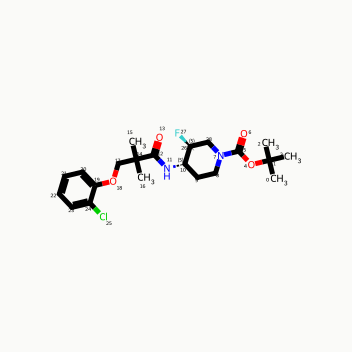 CC(C)(C)OC(=O)N1CC[C@H](NC(=O)C(C)(C)COc2ccccc2Cl)[C@@H](F)C1